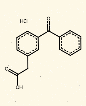 Cl.O=C(O)Cc1cccc(C(=O)c2ccccc2)c1